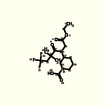 CCOC(=O)CN(C(=O)C(C)(C)CC(F)(F)F)C1CCCN(C(=O)O)C1